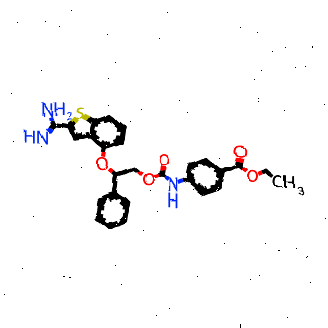 CCOC(=O)c1ccc(NC(=O)OCC(Oc2cccc3sc(C(=N)N)cc23)c2ccccc2)cc1